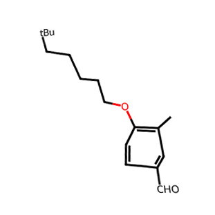 Cc1cc(C=O)ccc1OCCCCCC(C)(C)C